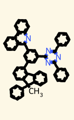 CC1(c2ccccc2)c2ccccc2-c2c(-c3cc(-c4nc(-c5ccccc5)nc(-c5ccccc5)n4)cc(-c4nc5ccccc5c5ccccc45)c3)cccc21